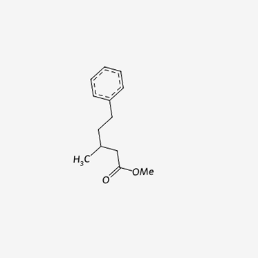 COC(=O)CC(C)CCc1ccccc1